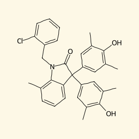 Cc1cc(C2(c3cc(C)c(O)c(C)c3)C(=O)N(Cc3ccccc3Cl)c3c(C)cccc32)cc(C)c1O